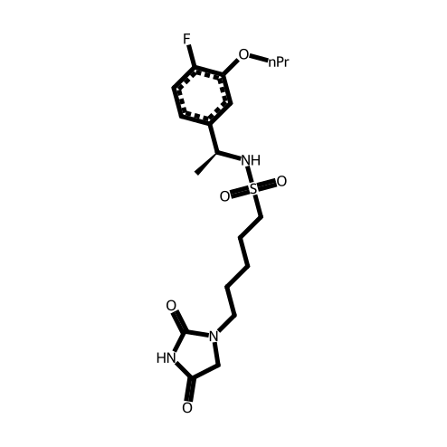 CCCOc1cc([C@H](C)NS(=O)(=O)CCCCCN2CC(=O)NC2=O)ccc1F